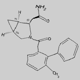 Cc1cccc(C(=O)N2C[C@H]3C[C@H]3[C@H]2C(N)=O)c1-c1ccccc1